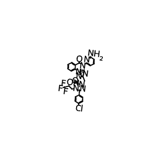 Nc1cccc(NC(=O)c2ccccc2-n2cnc(Cn3nc(-c4ccc(Cl)cc4)n(CC(O)C(F)(F)F)c3=O)n2)n1